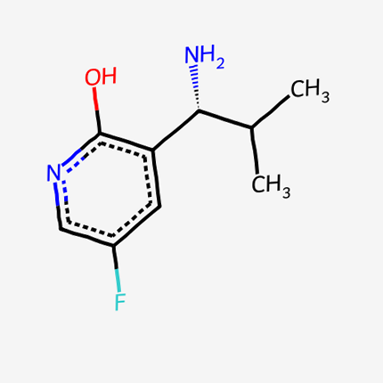 CC(C)[C@@H](N)c1cc(F)cnc1O